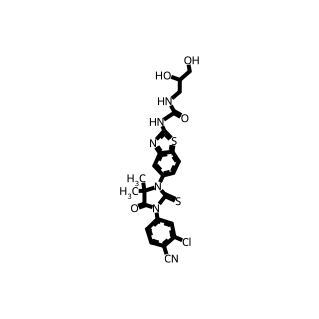 CC1(C)C(=O)N(c2ccc(C#N)c(Cl)c2)C(=S)N1c1ccc2sc(NC(=O)NCC(O)CO)nc2c1